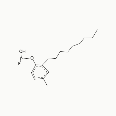 CCCCCCCCCc1cc(C)ccc1OP(O)F